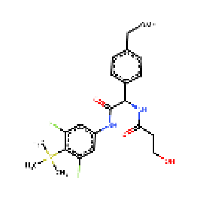 COCc1ccc([C@@H](NC(=O)CCO)C(=O)Nc2cc(F)c(S(C)(C)C)c(F)c2)cc1